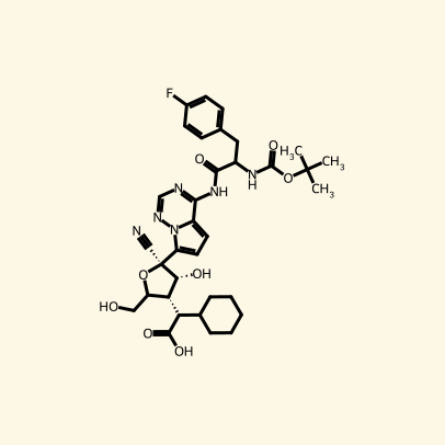 CC(C)(C)OC(=O)NC(Cc1ccc(F)cc1)C(=O)Nc1ncnn2c([C@]3(C#N)OC(CO)[C@@H](C(C(=O)O)C4CCCCC4)[C@H]3O)ccc12